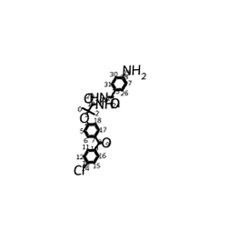 CC(C)(Oc1ccc(C(=O)c2ccc(Cl)cc2)cc1)C(=O)NNC(=O)c1ccc(N)cc1